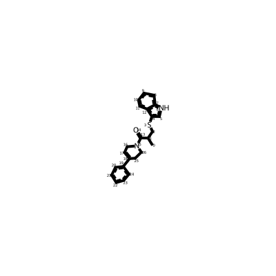 CC(CSc1c[nH]c2ccccc12)C(=O)N1CC=C(c2ccccc2)CC1